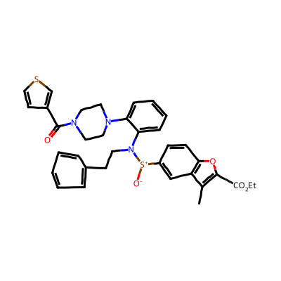 CCOC(=O)c1oc2ccc([S+]([O-])N(CCc3ccccc3)c3ccccc3N3CCN(C(=O)c4ccsc4)CC3)cc2c1C